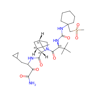 CC(C)(C)[C@H](NC(=O)NC1(CS(C)(=O)=O)CCCCC1)C(=O)N1C[C@H]2C[C@@H]([C@H]1C(=O)NC(CC1CC1)C(=O)C(N)=O)C2(C)C